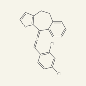 Clc1ccc(C=C=C2c3ccccc3CCc3ccsc32)c(Cl)c1